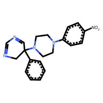 O=[N+]([O-])c1ccc(N2CCN(C3(c4ccccc4)C=NC=NC3)CC2)cc1